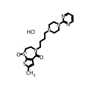 Cc1cc2c(s1)[S+]([O-])CCN(CCCCN1CCN(c3ncccn3)CC1)C2=O.Cl